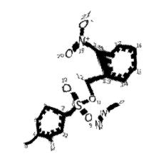 C=[N+]=[N-].Cc1ccc(S(=O)(=O)OCc2ccccc2[N+](=O)[O-])cc1